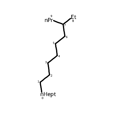 [CH2]CCCCCCCCCCCCC(CC)CCC